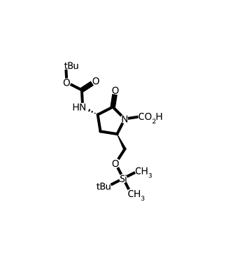 CC(C)(C)OC(=O)N[C@H]1C[C@H](CO[Si](C)(C)C(C)(C)C)N(C(=O)O)C1=O